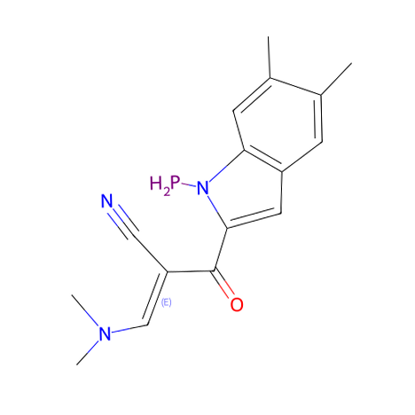 Cc1cc2cc(C(=O)/C(C#N)=C/N(C)C)n(P)c2cc1C